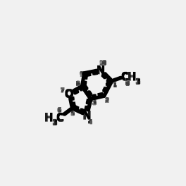 Cc1cc2nc(C)oc2cn1